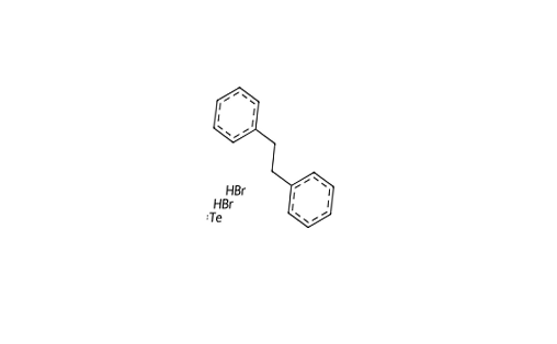 Br.Br.[Te].c1ccc(CCc2ccccc2)cc1